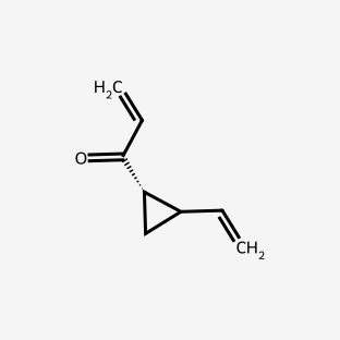 C=CC(=O)[C@H]1CC1C=C